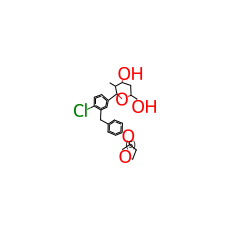 CC1C(O)CC(CO)OC1c1ccc(Cl)c(Cc2ccc(O[C@H]3CCOC3)cc2)c1